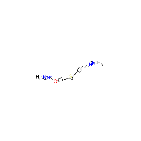 Cn1cc[n+](CCCCc2ccc(C#Cc3ccc(C#Cc4ccc(OCCC[n+]5ccn(C)c5)cc4)s3)cc2)c1